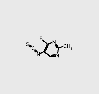 Cc1ncc(N=C=S)c(F)n1